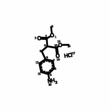 COC(=O)C(Cc1ccc(N)cc1)C(=O)OC.Cl